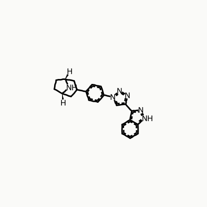 c1ccc2c(-c3cn(-c4ccc(C5C[C@H]6CC[C@@H](C5)N6)cc4)nn3)n[nH]c2c1